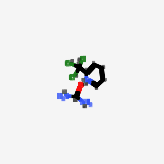 ClC(Cl)(Cl)c1ccccn1.NC(N)=O